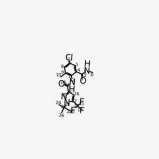 CNC(=O)c1cc(Cl)cc(C)c1NC(=O)c1cc(C(F)(F)F)n(C(C)(C)C)n1